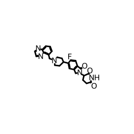 O=C1CCC(N2Cc3cc(C4CCN(Cc5cccc6nccnc56)CC4)c(F)cc3C2=O)C(=O)N1